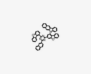 c1ccc2cc(-c3nc(-c4cc(-n5c6ccccc6c6cc7ccccc7cc65)c5c(c4)oc4ccccc45)nc(-c4cccc5oc6ccccc6c45)n3)ccc2c1